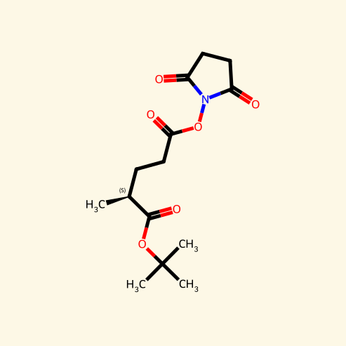 C[C@@H](CCC(=O)ON1C(=O)CCC1=O)C(=O)OC(C)(C)C